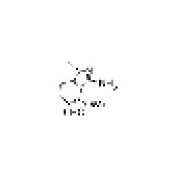 COc1c(C=O)ccc2c1c(N)nn2C